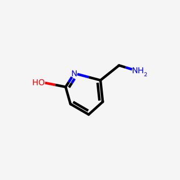 NCc1cccc(O)n1